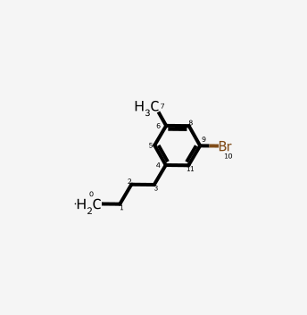 [CH2]CCCc1cc(C)cc(Br)c1